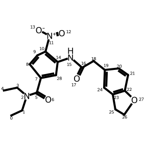 CCN(CC)C(=O)c1ccc([N+](=O)[O-])c(NC(=O)Cc2ccc3c(c2)CCO3)c1